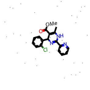 COC(=O)C1=C(C)NC(c2ccccn2)=NC1c1ccccc1Cl